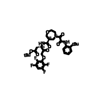 CC(C)(C)OC(=O)C[C@H](NC(=O)[C@H]1COCCN(C(=O)C(=O)Nc2ccccc2C(C)(C)C)C1)C(=O)COc1c(F)c(F)cc(F)c1F